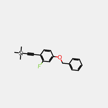 C[Si](C)(C)C#Cc1ccc(OCc2ccccc2)cc1F